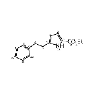 CCOC(=O)c1ccc(CCc2ccccc2)[nH]1